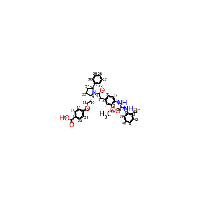 COc1cc(CC(=O)N2[C@H](CCOc3ccc(C(=O)O)cc3)CC[C@@H]2c2ccccc2)ccc1NC(=O)Nc1ccccc1Br